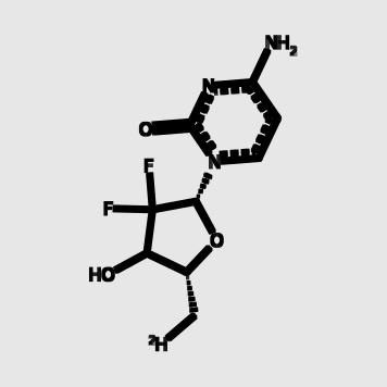 [2H]C[C@H]1O[C@@H](n2ccc(N)nc2=O)C(F)(F)C1O